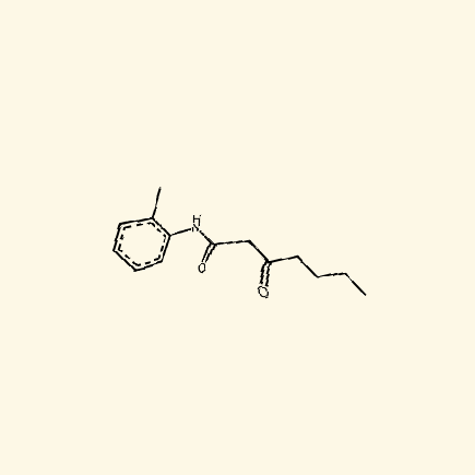 CCCCC(=O)CC(=O)Nc1ccccc1C